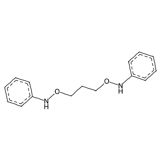 c1ccc(NOCCCONc2ccccc2)cc1